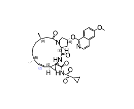 COc1ccc2c(O[C@@H]3C[C@H]4C(=O)N[C@]5(C(=O)NS(=O)(=O)C6CC6)C[C@H]5/C=C\[C@H](C)CCC[C@@H](C)CC(=O)N4C3)nccc2c1